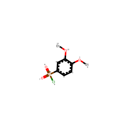 CCOc1ccc(S(=O)(=O)Cl)cc1OCC